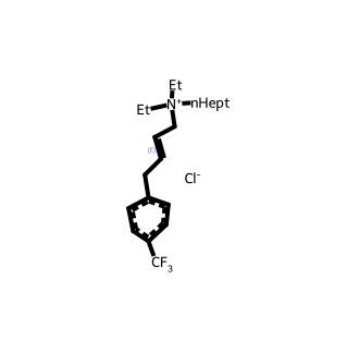 CCCCCCC[N+](CC)(CC)C/C=C/Cc1ccc(C(F)(F)F)cc1.[Cl-]